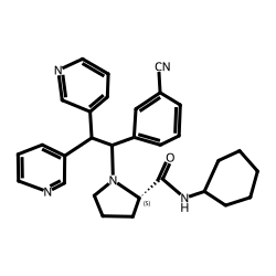 N#Cc1cccc(C(C(c2cccnc2)c2cccnc2)N2CCC[C@H]2C(=O)NC2CCCCC2)c1